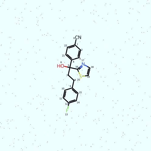 N#Cc1ccc(C(O)(CCc2ccc(F)cc2)c2nccs2)cc1